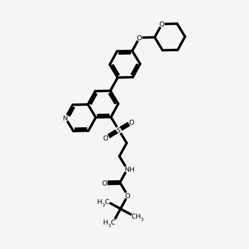 CC(C)(C)OC(=O)NCCS(=O)(=O)c1cc(-c2ccc(OC3CCCCO3)cc2)cc2cnccc12